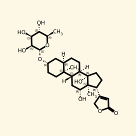 C[C@H]1O[C@H](O[C@H]2CC[C@@]3(C)[C@H](CC[C@@H]4[C@@H]3C[C@@H](O)[C@]3(C)[C@@H](C5=CC(=O)OC5)CC[C@]43O)C2)[C@@H](O)[C@@H](O)[C@@H]1O